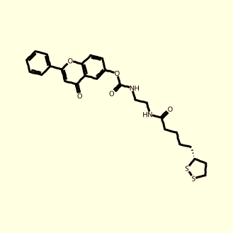 O=C(CCCC[C@@H]1CCSS1)NCCNC(=O)Oc1ccc2oc(-c3ccccc3)cc(=O)c2c1